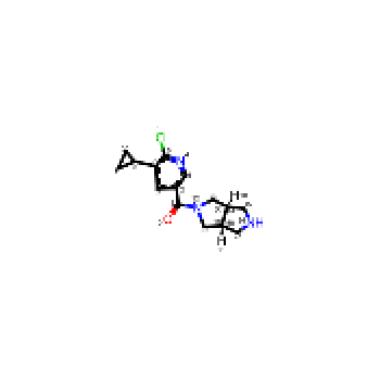 O=C(c1cnc(Cl)c(C2CC2)c1)N1C[C@H]2CNC[C@@H]2C1